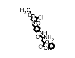 CCOCCN(Cc1ccc(NC(=O)[C@@H](N)CC(Oc2ccccc2)C(=O)O)cc1)C(=O)C(Cl)Cl